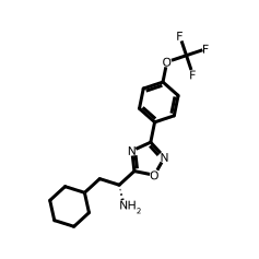 N[C@H](CC1CCCCC1)c1nc(-c2ccc(OC(F)(F)F)cc2)no1